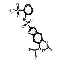 CS(=O)(=O)c1ccccc1NS(=O)(=O)c1cc2cc(OC(F)F)c(OC(F)F)cc2o1